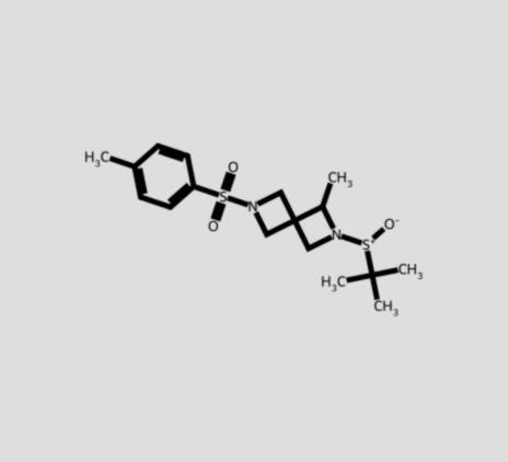 Cc1ccc(S(=O)(=O)N2CC3(CN([S+]([O-])C(C)(C)C)C3C)C2)cc1